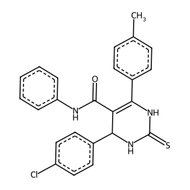 Cc1ccc(C2=C(C(=O)Nc3ccccc3)C(c3ccc(Cl)cc3)NC(=S)N2)cc1